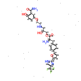 NC(=O)c1cc(OCCNCC(O)COC(=O)[C@@H](N)Cc2ccc(-c3ccc(-c4nc(C(F)(F)F)c[nH]4)o3)cc2)ccc1O